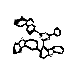 c1ccc(-c2nc(-c3ccc4c(ccc5ccccc54)c3)nc(-c3c(-c4ccc5oc6ccccc6c5c4)ccc4oc5ccccc5c34)n2)cc1